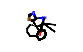 CC1(C)CC(=O)C2=C(C1)Nc1ncsc1[C@@]21CCCCc2ccccc21